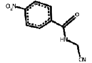 N#CCNC(=O)c1ccc([N+](=O)[O-])cc1